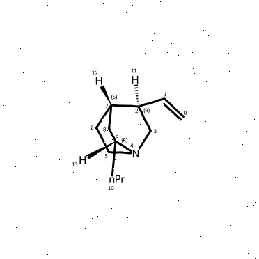 C=C[C@H]1CN2CC[C@H]1C[C@H]2CCC